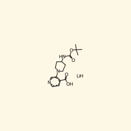 CC(C)(C)OC(=O)NC1CCN(c2cnccc2C(=O)O)CC1.[LiH]